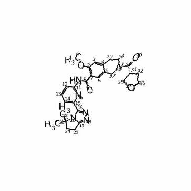 COc1cc2c(cc1C(=O)Nc1cccc(-c3nnc4n3C(C)(C)CC4)n1)CN(C(=O)[C@@H]1CCOC1)CC2